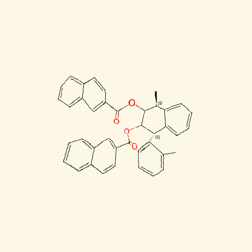 Cc1ccccc1[C@H]1c2ccccc2[C@H](C)C(OC(=O)c2ccc3ccccc3c2)C1OC(=O)c1ccc2ccccc2c1